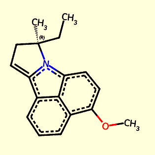 CC[C@]1(C)CC=c2c3cccc4c(OC)ccc(c43)n21